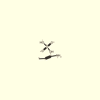 CC#CN.O=S(=O)(O)O